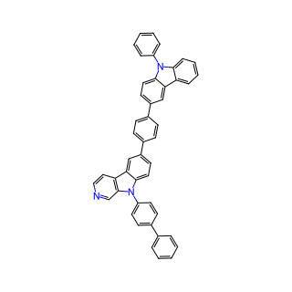 c1ccc(-c2ccc(-n3c4ccc(-c5ccc(-c6ccc7c(c6)c6ccccc6n7-c6ccccc6)cc5)cc4c4ccncc43)cc2)cc1